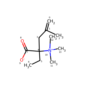 C=C(C)CC(CC)(C(=O)[O-])[N+](C)(C)C